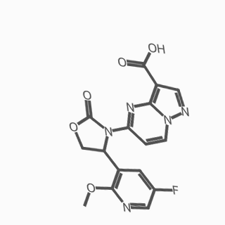 COc1ncc(F)cc1C1COC(=O)N1c1ccn2ncc(C(=O)O)c2n1